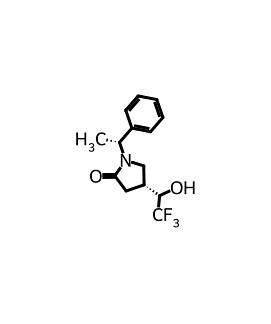 C[C@H](c1ccccc1)N1C[C@H](C(O)C(F)(F)F)CC1=O